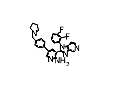 Nc1ncc(-c2ccc(CN3CCCC3)cc2)cc1-c1nc2cnccc2n1-c1cccc(F)c1F